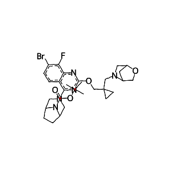 CC(C)(C)OC(=O)N1C2CCC1CN(c1nc(OCC3(CN4CC5CC4CO5)CC3)nc3c(F)c(Br)ccc13)C2